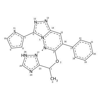 CC(Oc1nn2c(-c3cccs3)nnc2cc1-c1ccccc1)c1nc[nH]n1